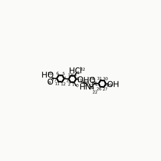 Cc1cc(-c2ccc(C(=O)O)cc2)cc(C)c1OCCN[C@@H](C)[C@@H](O)c1ccc(O)cc1.Cl